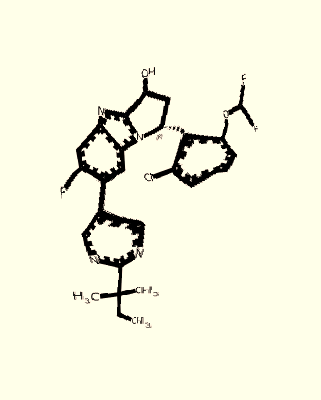 CCC(C)(C)c1ncc(-c2cc3c(cc2F)nc2n3[C@@H](c3c(Cl)cccc3OC(F)F)CC2O)cn1